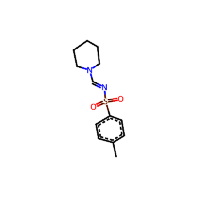 Cc1ccc(S(=O)(=O)N=CN2CCCCC2)cc1